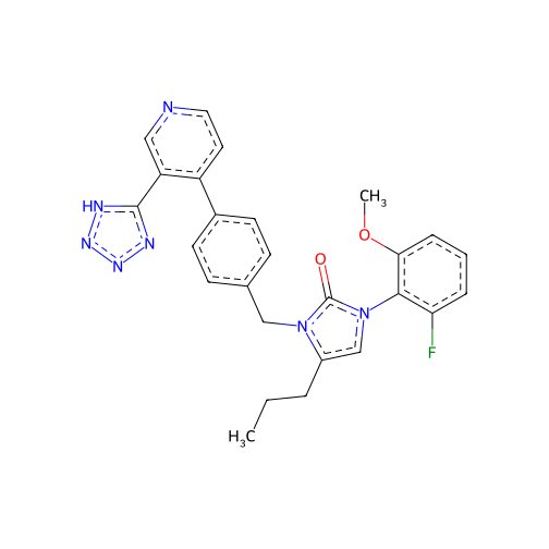 CCCc1cn(-c2c(F)cccc2OC)c(=O)n1Cc1ccc(-c2ccncc2-c2nnn[nH]2)cc1